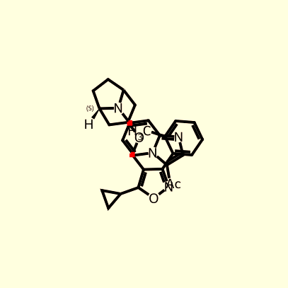 CC(=O)c1cnc2cc(N3C4CC[C@H]3CC(OCc3c(-c5ccccc5C)noc3C3CC3)C4)ccn12